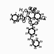 CN1C(C(=O)Nc2ccccn2)=C(OC(=O)c2ccc(C[n+]3ccccc3)cc2)c2ccccc2S1(=O)=O.[Cl-]